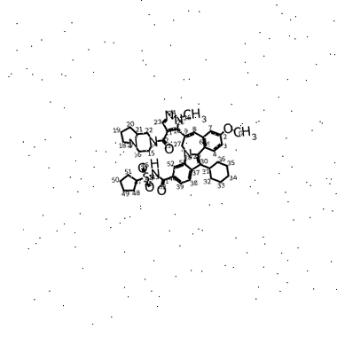 COc1ccc2c(c1)C=C(c1c(C(=O)N3CCN4CCCC4C3)cnn1C)Cn1c-2c(C2CCCCC2)c2ccc(C(=O)NS(=O)(=O)C3CCCC3)cc21